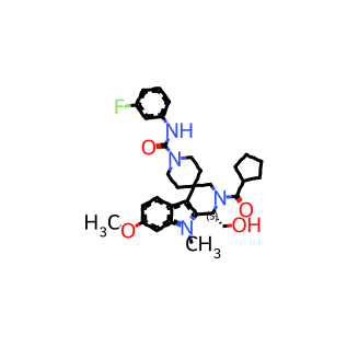 COc1ccc2c3c(n(C)c2c1)[C@@H](CO)N(C(=O)C1CCCC1)CC31CCN(C(=O)Nc2cccc(F)c2)CC1